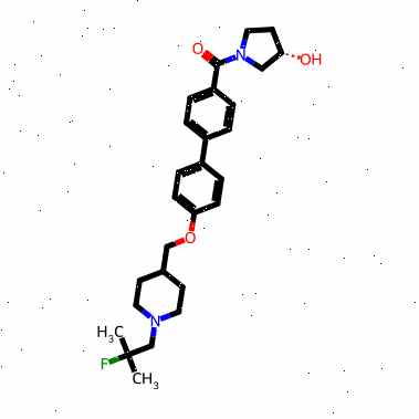 CC(C)(F)CN1CCC(COc2ccc(-c3ccc(C(=O)N4CC[C@H](O)C4)cc3)cc2)CC1